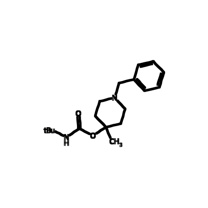 CC(C)(C)NC(=O)OC1(C)CCN(Cc2ccccc2)CC1